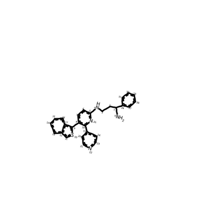 NC(CCNc1ccc(-c2scc3ccccc23)c(-c2ccncc2)n1)c1ccccc1